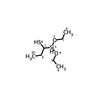 CCO[SiH](OCC)C(S)CC